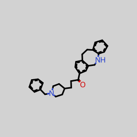 O=C(CCC1CCN(Cc2ccccc2)CC1)c1ccc2c(c1)CNc1ccccc1CC2